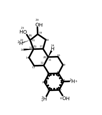 [2H]c1cc2c(c([2H])c1O)CC[C@@H]1C2CC[C@@]2(C)C1CC(O)[C@]2([2H])O